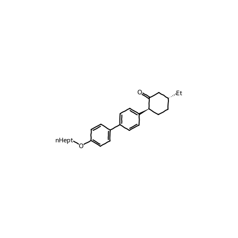 CCCCCCCOc1ccc(-c2ccc([C@@H]3CC[C@@H](CC)CC3=O)cc2)cc1